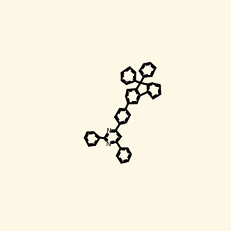 c1ccc(-c2cc(-c3ccc(-c4ccc5c(c4)-c4ccccc4C5(c4ccccc4)c4ccccc4)cc3)nc(-c3ccccc3)n2)cc1